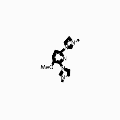 COc1ccc(-n2cc[n+](C)c2)nc1-n1cc[n+](C)c1